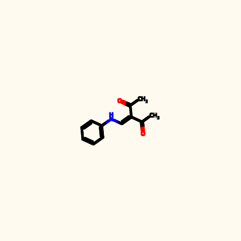 CC(=O)C(=CNc1ccccc1)C(C)=O